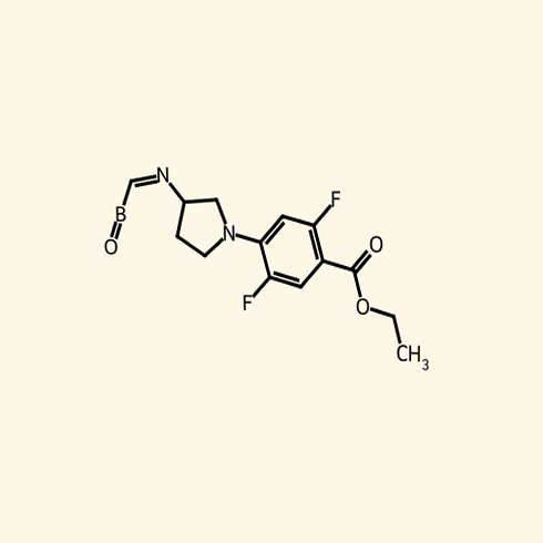 CCOC(=O)c1cc(F)c(N2CCC(/N=C\B=O)C2)cc1F